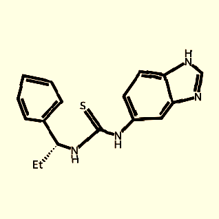 CC[C@@H](NC(=S)Nc1ccc2[nH]cnc2c1)c1ccccc1